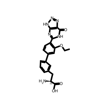 CCOc1cc(-c2cccc(C[C@H](N)C(=O)O)c2)ccc1-c1nc2[nH]nnc2c(=O)[nH]1